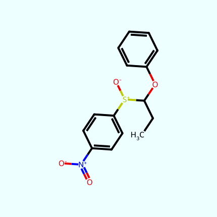 CCC(Oc1ccccc1)[S+]([O-])c1ccc([N+](=O)[O-])cc1